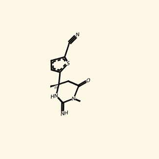 CN1C(=N)N[C@](C)(c2ccc(C#N)s2)CC1=O